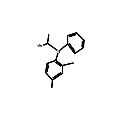 CCCCC(C)N(c1ccccc1)c1ccc(C)cc1C